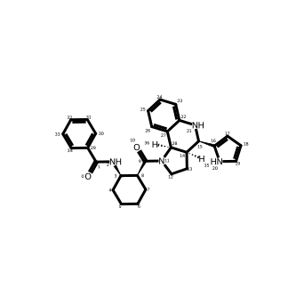 O=C(N[C@@H]1CCCC[C@@H]1C(=O)N1CC[C@@H]2[C@H](c3ccc[nH]3)Nc3ccccc3[C@@H]21)c1ccccc1